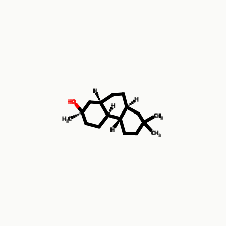 CC1(C)CC[C@H]2[C@@H](CC[C@@H]3C[C@](C)(O)CC[C@@H]32)C1